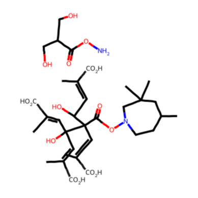 CC(=CC(O)C(C=C(C)C(=O)O)(C(=O)ON1CCC(C)CC(C)(C)C1)C(O)(C=C(C)C(=O)O)C=C(C)C(=O)O)C(=O)O.NOC(=O)C(CO)CO